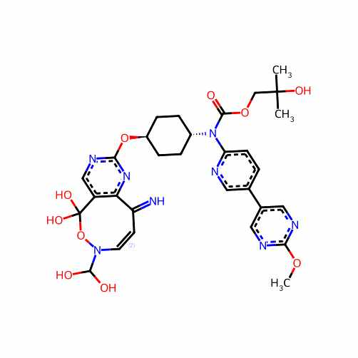 COc1ncc(-c2ccc(N(C(=O)OCC(C)(C)O)[C@H]3CC[C@H](Oc4ncc5c(n4)C(=N)/C=C\N(C(O)O)OC5(O)O)CC3)nc2)cn1